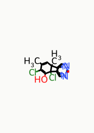 CC1=CC(C)(c2cncnc2)C(Cl)(c2cncnc2)C(O)=C1Cl